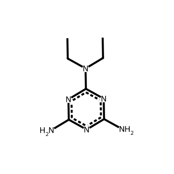 CCN(CC)c1nc(N)nc(N)n1